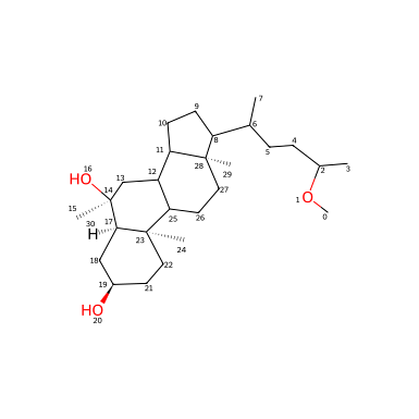 COC(C)CCC(C)C1CCC2C3C[C@](C)(O)[C@@H]4C[C@H](O)CC[C@]4(C)C3CC[C@]12C